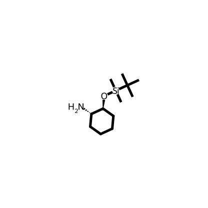 CC(C)(C)[Si](C)(C)O[C@H]1CCCC[C@@H]1N